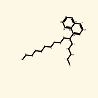 CCCCCCCCCCC(CCCCC)c1cccc2ccccc12